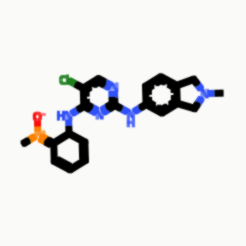 CN1Cc2ccc(Nc3ncc(Cl)c(NC4C=CC=CC4=[P+](C)[O-])n3)cc2C1